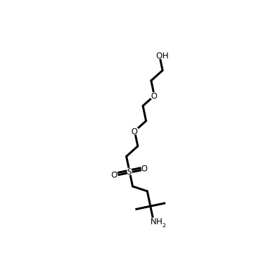 CC(C)(N)CCS(=O)(=O)CCOCCOCCO